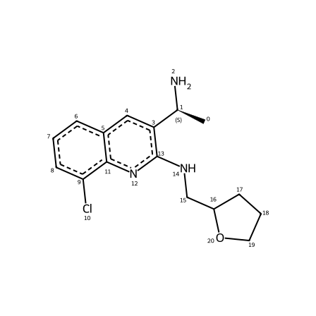 C[C@H](N)c1cc2cccc(Cl)c2nc1NCC1CCCO1